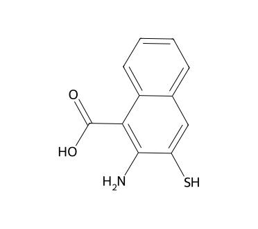 Nc1c(S)cc2ccccc2c1C(=O)O